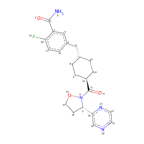 NC(=O)c1cc(C[C@H]2CC[C@H](C(=O)N3OCC[C@H]3c3cnccn3)CC2)ccc1F